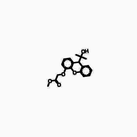 COC(=O)COc1cccc2c1Oc1ccccc1C2C(C)(C)O